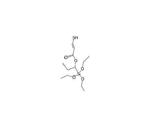 CCO[Si](OCC)(OCC)C(CC)OC(=O)C=CS